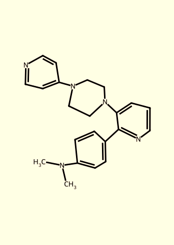 CN(C)c1ccc(-c2ncccc2N2CCN(c3ccncc3)CC2)cc1